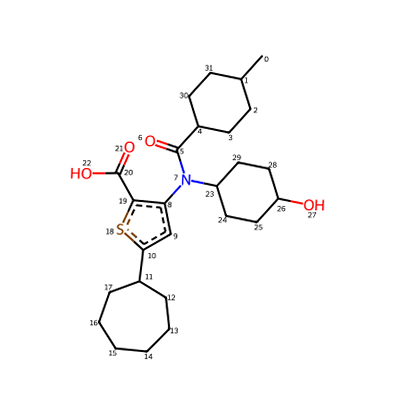 CC1CCC(C(=O)N(c2cc(C3CCCCCC3)sc2C(=O)O)C2CCC(O)CC2)CC1